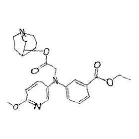 CCOC(=O)c1cccc(N(CC(=O)OC2CN3CCC2CC3)c2ccc(OC)nc2)c1